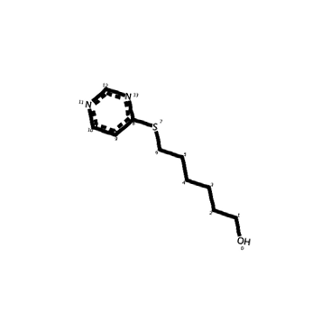 OCCCCCCSc1ccncn1